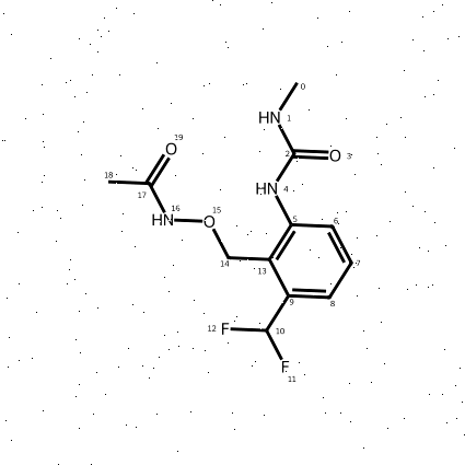 CNC(=O)Nc1cccc(C(F)F)c1CONC(C)=O